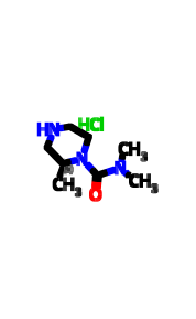 C[C@H]1CNCCN1C(=O)N(C)C.Cl